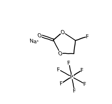 F[P-](F)(F)(F)(F)F.O=C1OCC(F)O1.[Na+]